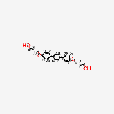 OCCCCOc1ccc(C2=CCC(c3ccc(OCCCCO)cc3)CC2)cc1